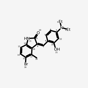 CCN(CC)c1ccc(C=C2C(=O)Nc3ccc(Br)c(C)c32)c(O)c1